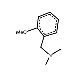 COc1ccc[c]c1CN(C)C